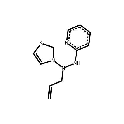 C=CCN(Nc1ccccn1)N1C=CSC1